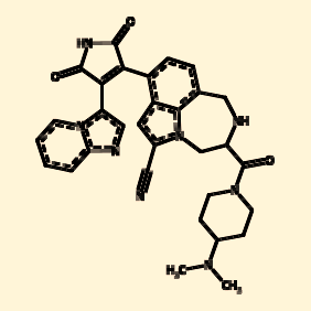 CN(C)C1CCN(C(=O)C2Cn3c(C#N)cc4c(C5=C(c6cnc7ccccn67)C(=O)NC5=O)ccc(c43)CN2)CC1